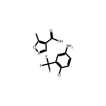 Cc1oncc1C(=O)O.Nc1ccc(Cl)c(C(F)(F)F)c1